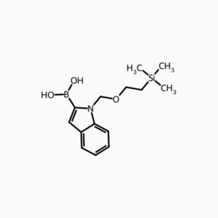 C[Si](C)(C)CCOCn1c(B(O)O)cc2ccccc21